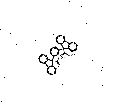 COC(=O)C1(c2cccc(C3(C(=O)OC)c4ccccc4-c4ccccc43)c2)c2ccccc2-c2ccccc21